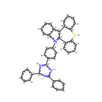 c1ccc(-c2nc(-c3ccccc3)nc(-c3ccc(-n4c5c(c6ccccc64)-c4ccccc4Sc4ccccc4-5)cc3)n2)cc1